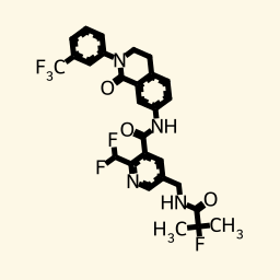 CC(C)(F)C(=O)NCc1cnc(C(F)F)c(C(=O)Nc2ccc3c(c2)C(=O)N(c2cccc(C(F)(F)F)c2)CC3)c1